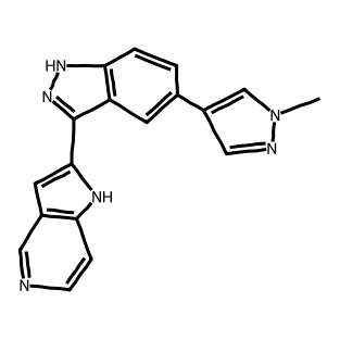 Cn1cc(-c2ccc3[nH]nc(-c4cc5cnccc5[nH]4)c3c2)cn1